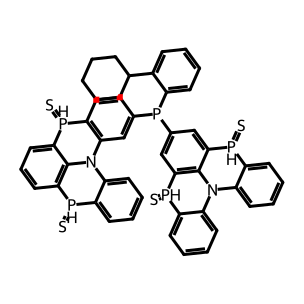 S=[PH]1c2ccccc2N2c3cc(P(c4cc5c6c(c4)[PH](=S)c4ccccc4N6c4ccccc4[PH]5=S)c4ccccc4C4CCCCC4)ccc3[PH](=S)c3cccc1c32